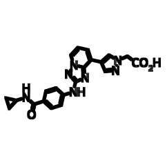 O=C(O)Cn1cc(-c2cccn3nc(Nc4ccc(C(=O)NC5CC5)cc4)nc23)cn1